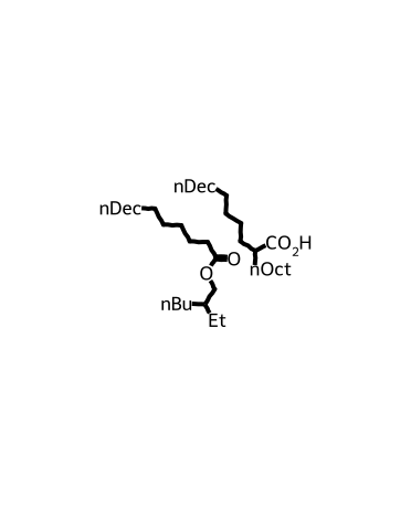 CCCCCCCCCCCCCCC(CCCCCCCC)C(=O)O.CCCCCCCCCCCCCCCC(=O)OCC(CC)CCCC